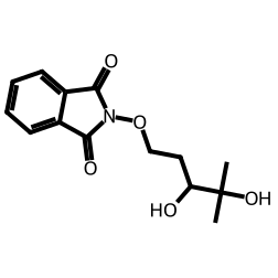 CC(C)(O)C(O)CCON1C(=O)c2ccccc2C1=O